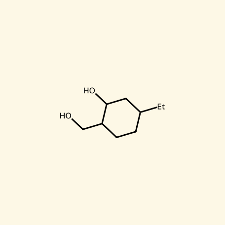 CCC1CCC(CO)C(O)C1